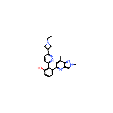 CCN1CC(c2ccc(-c3c(O)cccc3-c3cc(C)c4nn(C)cc4n3)nn2)C1